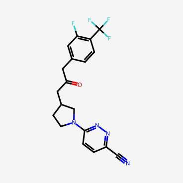 N#Cc1ccc(N2CCC(CC(=O)Cc3ccc(C(F)(F)F)c(F)c3)C2)nn1